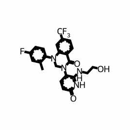 Cc1cc(F)ccc1N1CN(c2ccc(=O)[nH]c2NCCO)C(=O)c2ccc(C(F)(F)F)cc21